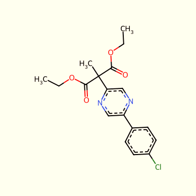 CCOC(=O)C(C)(C(=O)OCC)c1cnc(-c2ccc(Cl)cc2)cn1